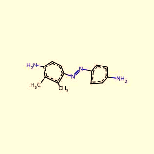 Cc1c(N)ccc(N=Nc2ccc(N)cc2)c1C